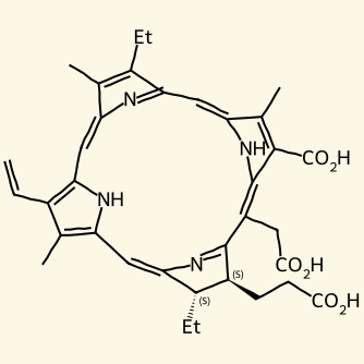 C=Cc1c(C)c2cc3nc(c(CC(=O)O)c4[nH]c(cc5nc(cc1[nH]2)C(C)=C5CC)c(C)c4C(=O)O)[C@@H](CCC(=O)O)[C@@H]3CC